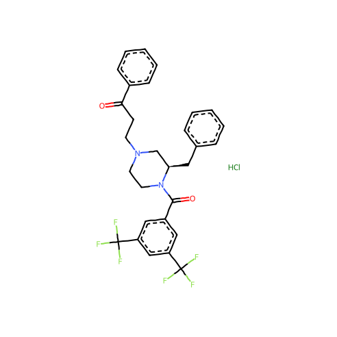 Cl.O=C(CCN1CCN(C(=O)c2cc(C(F)(F)F)cc(C(F)(F)F)c2)[C@H](Cc2ccccc2)C1)c1ccccc1